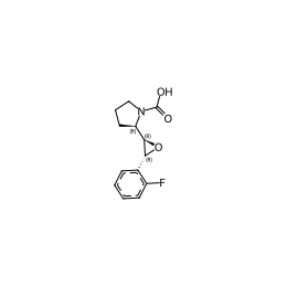 O=C(O)N1CCC[C@@H]1[C@H]1O[C@@H]1c1ccccc1F